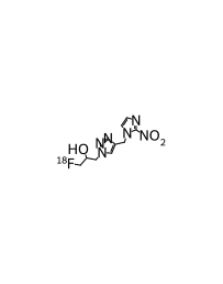 O=[N+]([O-])c1nccn1Cc1cn(CC(O)C[18F])nn1